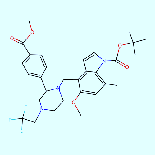 COC(=O)c1ccc(C2CN(CC(F)(F)F)CCN2Cc2c(OC)cc(C)c3c2ccn3C(=O)OC(C)(C)C)cc1